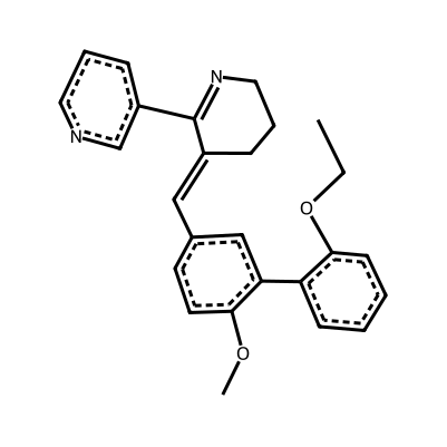 CCOc1ccccc1-c1cc(C=C2CCCN=C2c2cccnc2)ccc1OC